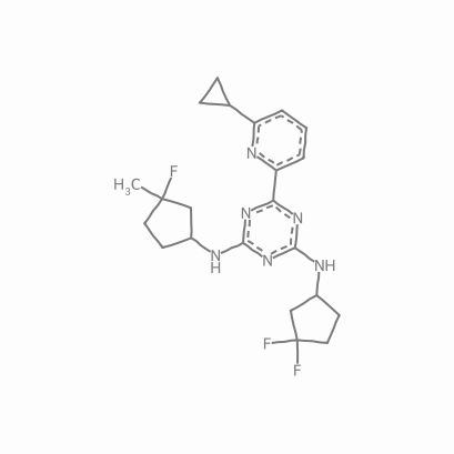 CC1(F)CCC(Nc2nc(NC3CCC(F)(F)C3)nc(-c3cccc(C4CC4)n3)n2)C1